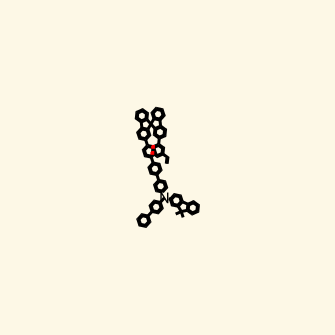 C=Cc1cccc(-c2ccc3c(c2)C2(c4ccccc4-c4ccc(-c5ccc(-c6ccc(-c7ccc(N(c8ccc(-c9ccccc9)cc8)c8ccc9c(c8)C(C)(C)c8ccccc8-9)cc7)cc6)cc5)cc42)c2ccccc2-3)c1